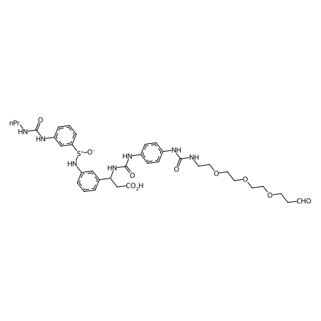 CCCNC(=O)Nc1cccc([S+]([O-])Nc2cccc(C(CC(=O)O)NC(=O)Nc3ccc(NC(=O)NCCOCCOCCOCCC=O)cc3)c2)c1